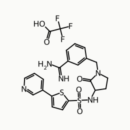 N=C(N)c1cccc(CN2CCC(NS(=O)(=O)c3ccc(-c4cccnc4)s3)C2=O)c1.O=C(O)C(F)(F)F